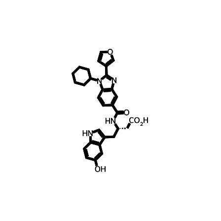 O=C(O)C[C@H](Cc1c[nH]c2ccc(O)cc12)NC(=O)c1ccc2c(c1)nc(-c1ccoc1)n2C1CCCCC1